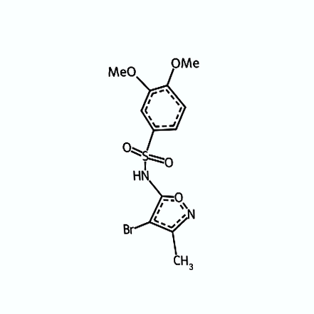 COc1ccc(S(=O)(=O)Nc2onc(C)c2Br)cc1OC